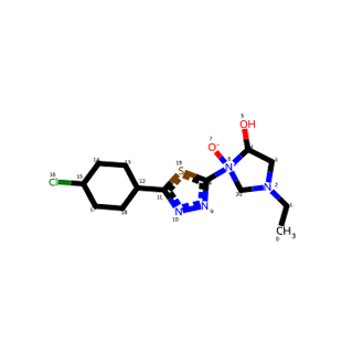 CCN1CC(O)[N+]([O-])(c2nnc(C3CCC(Cl)CC3)s2)C1